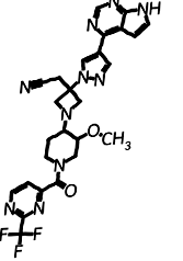 COC1CN(C(=O)c2ccnc(C(F)(F)F)n2)CCC1N1CC(CC#N)(n2cc(-c3ncnc4[nH]ccc34)cn2)C1